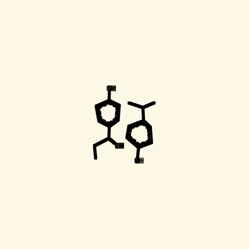 CC(C)c1ccc(O)cc1.CCC(O)c1ccc(O)cc1